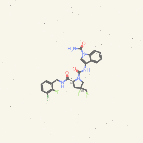 NC(=O)n1cc(NC(=O)N2C[C@](F)(CF)C[C@H]2C(=O)NCc2cccc(Cl)c2F)c2ccccc21